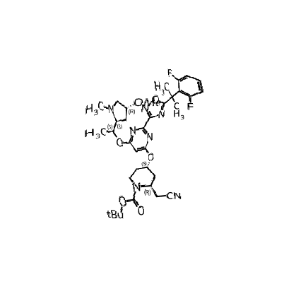 CO[C@@H]1C[C@@H]([C@H](C)Oc2cc(O[C@H]3CCN(C(=O)OC(C)(C)C)[C@H](CC#N)C3)nc(-c3noc(C(C)(C)c4c(F)cccc4F)n3)n2)N(C)C1